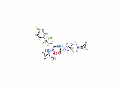 N#CC1(NC(=O)[C@H](CCC(F)(F)c2ccc(F)cc2)NC(=O)N2CC3(CCN(C4CC4)CC3)C2)CC1